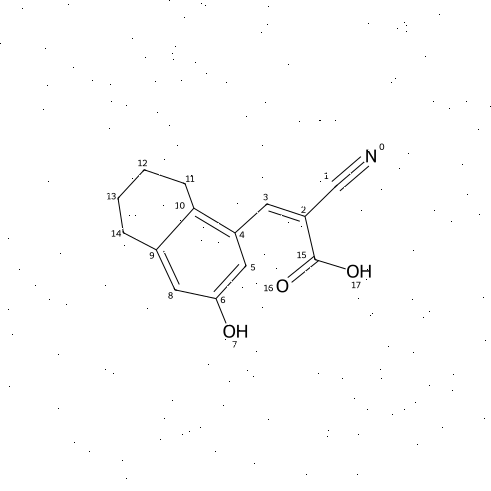 N#CC(=Cc1cc(O)cc2c1CCCC2)C(=O)O